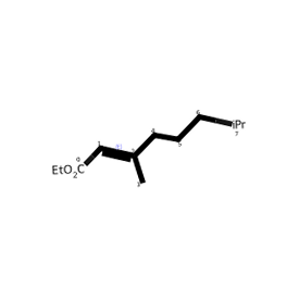 CCOC(=O)/C=C(\C)CCCC(C)C